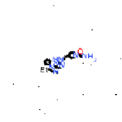 CCC1CN(C)c2cnc(NCCC3CCN(C(=O)CN)CC3)nc2N1C1CCCC1